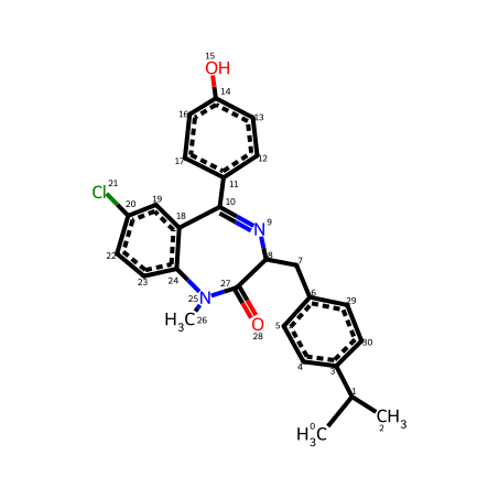 CC(C)c1ccc(CC2N=C(c3ccc(O)cc3)c3cc(Cl)ccc3N(C)C2=O)cc1